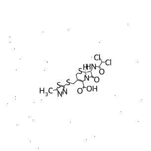 Cc1nnc(SCC2=C(C(=O)O)N3C(=O)C(NC(=O)C(Cl)Cl)[C@@H]3SC2)s1